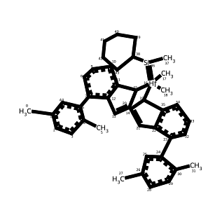 Cc1ccc(C)c(-c2cccc3c2C=C[CH]3[Hf]([CH3])([CH3])([CH]2C=Cc3c(-c4cc(C)ccc4C)cccc32)=[Si](C)C2CCCCC2)c1